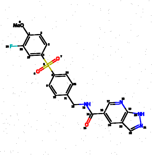 COc1ccc(S(=O)(=O)c2ccc(CNC(=O)c3cnc4[nH]ncc4c3)cc2)cc1F